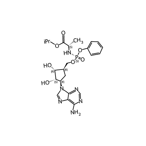 CC(C)OC(=O)[C@H](C)N[P@](=O)(OC[C@H]1C[C@@H](n2cnc3c(N)ncnc32)[C@H](O)[C@@H]1O)Oc1ccccc1